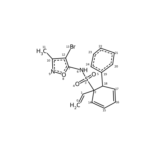 C=CC1(S(=O)(=O)Nc2onc(C)c2Br)C=CC=CC1c1ccccc1